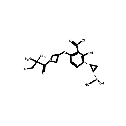 C[C@](N)(CO)C(=O)N1CC(Oc2ccc([C@@H]3C[C@@H]3B(O)O)c(O)c2C(=O)O)C1